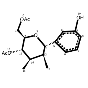 CC(=O)OC[C@H]1O[C@H](c2cccc(O)c2)[C@@H](C)[C@@H](C)[C@@H]1OC(C)=O